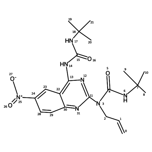 C=CCN(C(=O)NC(C)(C)C)c1nc(NC(=O)NC(C)(C)C)c2cc([N+](=O)[O-])ccc2n1